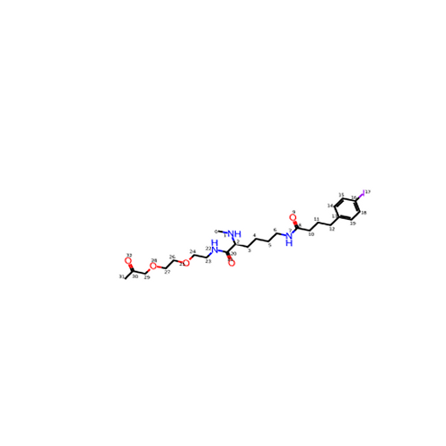 CN[C@@H](CCCCNC(=O)CCCc1ccc(I)cc1)C(=O)NCCOCCOCC(C)=O